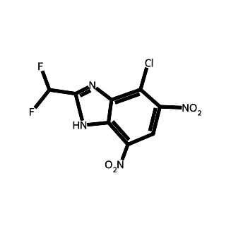 O=[N+]([O-])c1cc([N+](=O)[O-])c2[nH]c(C(F)F)nc2c1Cl